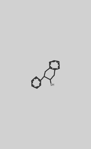 SC1Cc2ccccc2CC1c1ccccc1